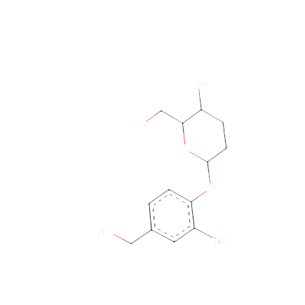 Nc1cc(CO)ccc1OC1CCC(O)C(CO)O1